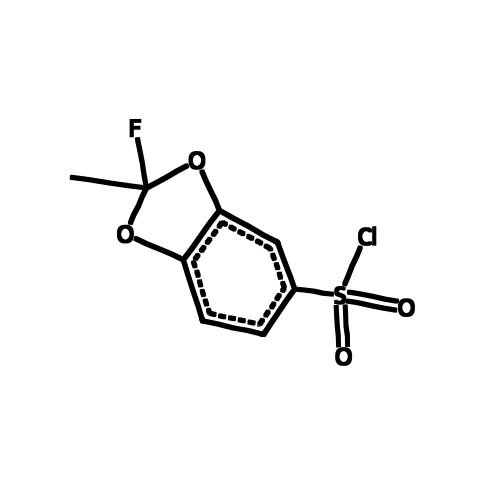 CC1(F)Oc2ccc(S(=O)(=O)Cl)cc2O1